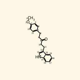 COc1ccc(CCC(=O)CCc2c[nH]c3ccccc23)cc1